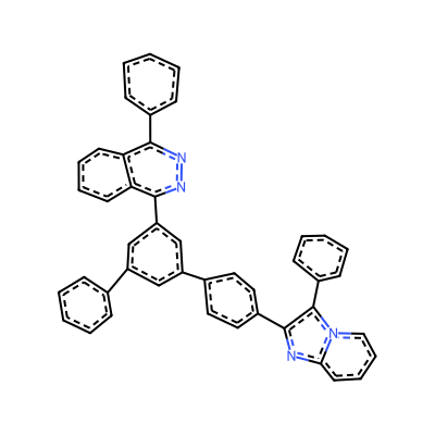 c1ccc(-c2cc(-c3ccc(-c4nc5ccccn5c4-c4ccccc4)cc3)cc(-c3nnc(-c4ccccc4)c4ccccc34)c2)cc1